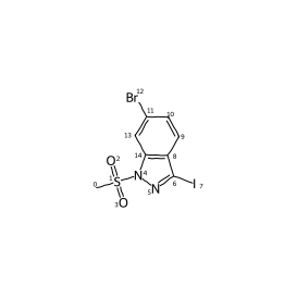 CS(=O)(=O)n1nc(I)c2ccc(Br)cc21